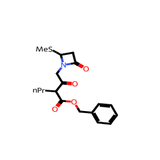 CCCC(C(=O)CN1C(=O)CC1SC)C(=O)OCc1ccccc1